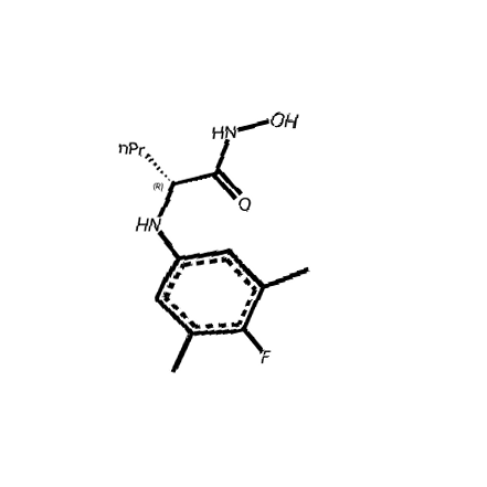 CCC[C@@H](Nc1cc(C)c(F)c(C)c1)C(=O)NO